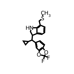 CSCc1cccc2c1NCC2C(c1ccc2c(c1)OC(F)(F)O2)C1CC1